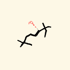 CC(C)(C)CC[C@H](O)C(C)(C)C